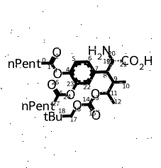 CCCCCC(=O)Oc1ccc(C(C(C)C(C)OC(=O)OCC(C)(C)C)[C@H](N)C(=O)O)cc1OC(=O)CCCCC